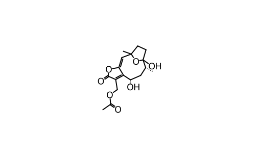 CC(=O)OCC1=C2C(=CC3(C)CCC(O)(O3)[C@H](C)C[C@@H]2O)OC1=O